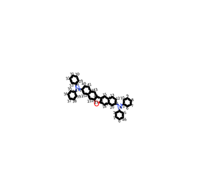 c1ccc(N(c2ccccc2)c2ccc3cc4c(cc3c2)oc2cc3cc(N(c5ccccc5)c5ccccc5)ccc3cc24)cc1